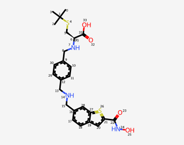 CC(C)(C)SC[C@H](NCc1ccc(CNCc2ccc3cc(C(=O)NO)sc3c2)cc1)C(=O)O